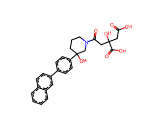 O=C(O)CC(O)(CC(=O)N1CCCC(O)(c2ccc(-c3ccc4ccccc4c3)cc2)C1)C(=O)O